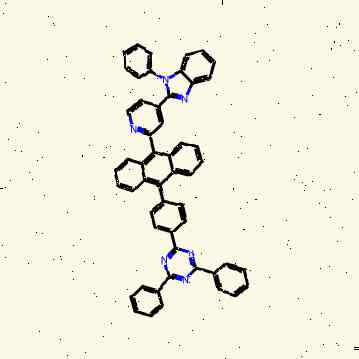 c1ccc(-c2nc(-c3ccccc3)nc(-c3ccc(-c4c5ccccc5c(-c5cc(-c6nc7ccccc7n6-c6ccccc6)ccn5)c5ccccc45)cc3)n2)cc1